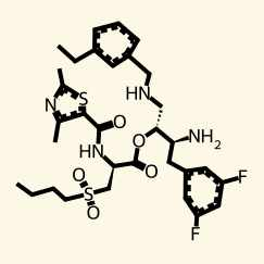 CCCCS(=O)(=O)C[C@@H](NC(=O)c1sc(C)nc1C)C(=O)O[C@H](CNCc1cccc(CC)c1)[C@@H](N)Cc1cc(F)cc(F)c1